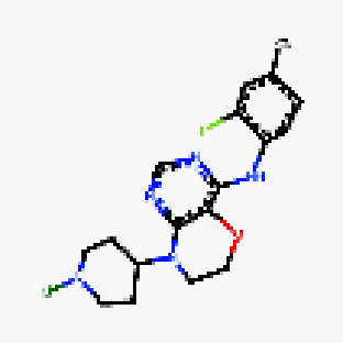 N#Cc1ccc(Nc2ncnc3c2OCCN3C2CCN(Cl)CC2)c(F)c1